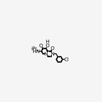 CC(C)Nc1cn2ccn(Cc3cccc(Cl)c3)c(=O)c2c(O)c1=O